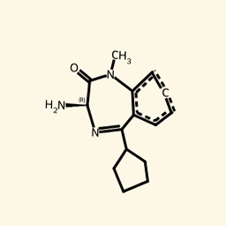 CN1C(=O)[C@H](N)N=C(C2CCCC2)c2ccccc21